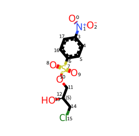 O=[N+]([O-])c1ccc(S(=O)(=O)OC[C@H](O)CCl)cc1